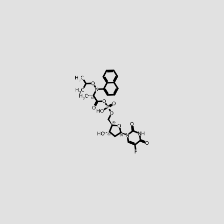 CC(C)ON(c1cccc2ccccc12)[C@@H](C)C(=O)OP(=O)(O)OC[C@H]1O[C@@H](n2cc(F)c(=O)[nH]c2=O)C[C@@H]1O